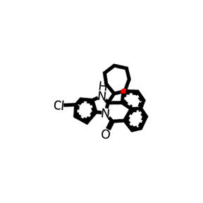 O=C1c2cccc3cccc(c23)C2(C3CCCCCC3)Nc3cc(Cl)ccc3N12